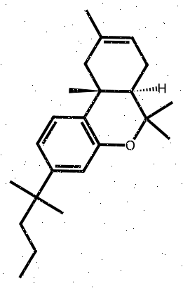 CCCC(C)(C)c1ccc2c(c1)OC(C)(C)[C@@H]1CC=C(C)C[C@@]21C